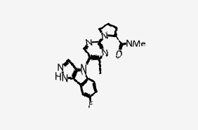 CNC(=O)[C@@H]1CCCN1c1ncc(-n2c3ccc(F)cc3c3[nH]ncc32)c(C)n1